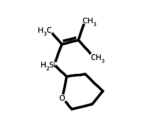 CC(C)=C(C)[SiH2]C1CCCCO1